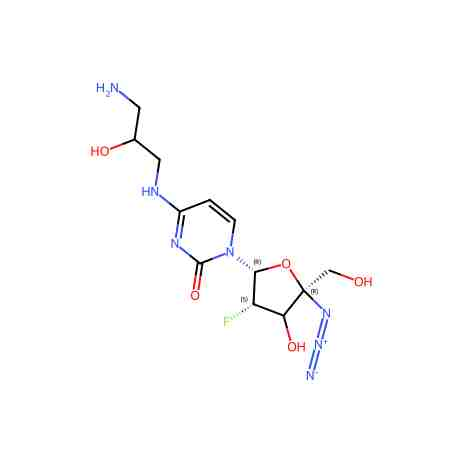 [N-]=[N+]=N[C@]1(CO)O[C@@H](n2ccc(NCC(O)CN)nc2=O)[C@@H](F)C1O